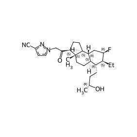 CC[C@H]1[C@H](CC[C@@H](C)O)[C@H]2CC[C@]3(C)[C@@H](C(=O)Cn4ccc(C#N)n4)CC[C@H]3[C@@H]2C[C@H]1F